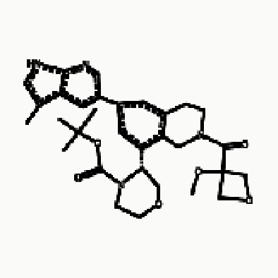 COC1(C(=O)N2CCc3cc(-c4cnc5[nH]cc(C)c5c4)cc([C@@H]4COCCN4C(=O)OC(C)(C)C)c3C2)COC1